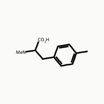 CNC(Cc1ccc(C)cc1)C(=O)O